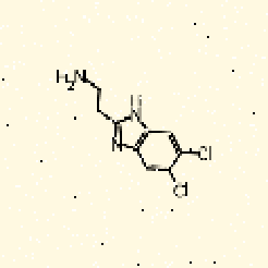 NCCc1nc2cc(Cl)c(Cl)cc2[nH]1